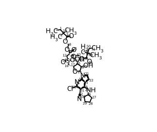 CCC(C)(C)C(=O)OCOP(=O)(CS(=O)(=O)C[C@H]1O[C@@H](n2ccc3c(NC4CCCC4)c(C#N)c(Cl)nc32)[C@H](O)[C@@H]1O)OCOC(=O)C(C)(C)CC